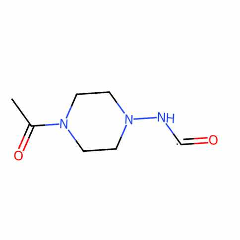 CC(=O)N1CCN(N[C]=O)CC1